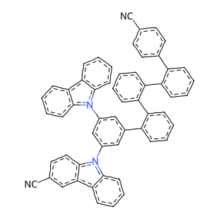 N#Cc1ccc(-c2ccccc2-c2ccccc2-c2ccccc2-c2cc(-n3c4ccccc4c4ccccc43)cc(-n3c4ccccc4c4cc(C#N)ccc43)c2)cc1